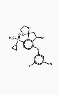 CP(=O)(c1ccc(Oc2cc(F)cc(C#N)c2)c2c1C1(CC2Br)OCCO1)C1CC1